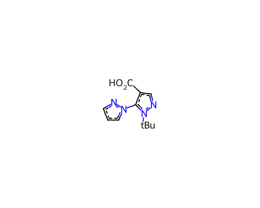 CC(C)(C)n1ncc(C(=O)O)c1-n1cccn1